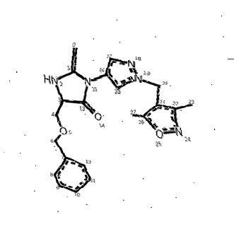 C=C1NC(COCc2ccccc2)C(=O)N1c1cnn(Cc2c(C)noc2C)c1